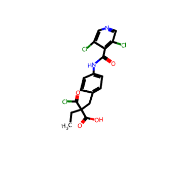 CCC(Cc1ccc(NC(=O)c2c(Cl)cncc2Cl)cc1)(C(=O)O)C(=O)Cl